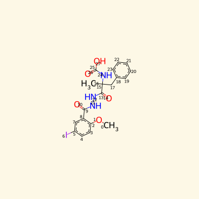 COc1ccc(I)cc1C(=O)NNC(=O)C(C)(Cc1ccccc1)NC(=O)O